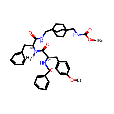 CCOc1ccc(C[C@@H](NC(=O)c2ccccc2)C(=O)N(C)[C@@H](Cc2ccccc2)C(=O)NCC23CCC(CNC(=O)OC(C)(C)C)(CC2)CC3)cc1